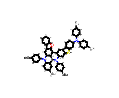 CC(C)(C)c1ccc(N2B3c4cc(C(C)(C)C)ccc4N(c4ccc(C(C)(C)C)cc4)c4cc5c(oc6ccccc65)c(c43)-c3cc4c(cc32)sc2cc(N(c3ccc(C(C)(C)C)cc3)c3ccc(C(C)(C)C)cc3)ccc24)cc1